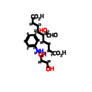 Nc1ccccc1.O=C(O)CCCCCCCC(=O)O.O=CO.OCCO